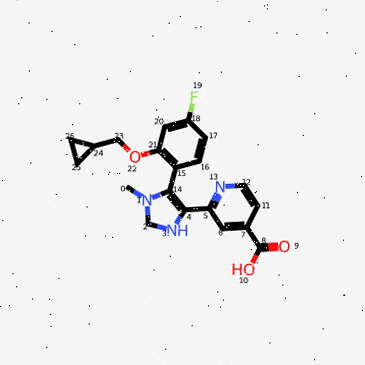 CN1CNC(c2cc(C(=O)O)ccn2)=C1c1ccc(F)cc1OCC1CC1